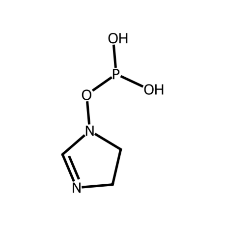 OP(O)ON1C=NCC1